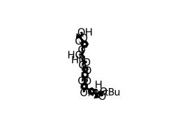 COc1ccc(S(=O)(=O)N2CCC3(CC2)C[C@@H](OC(=O)NCC(O)COc2cccc(S(=O)(=O)C4(CO)CC4)c2)CO3)cc1-c1ccc(C2(NC(=O)OC(C)(C)C)CC2)cc1